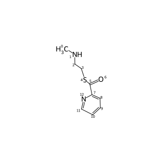 CNCCSC(=O)c1ccccn1